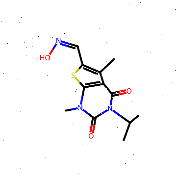 Cc1c(/C=N\O)sc2c1c(=O)n(C(C)C)c(=O)n2C